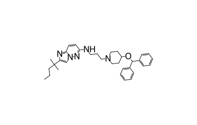 CCCC(C)(C)c1cn2nc(NCCCN3CCC(OC(c4ccccc4)c4ccccc4)CC3)ccc2n1